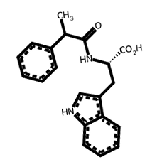 CC(C(=O)N[C@@H](Cc1c[nH]c2ccccc12)C(=O)O)c1ccccc1